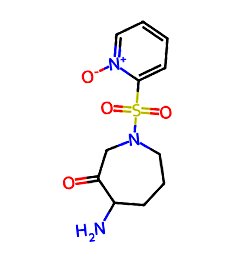 NC1CCCN(S(=O)(=O)c2cccc[n+]2[O-])CC1=O